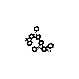 CC1(C)c2ccccc2-c2c1ccc1c2c2cc(-c3ccc4c5c6c(ccc5n(-c5ccccc5)c4c3)oc3ccccc36)ccc2n1-c1ccccc1